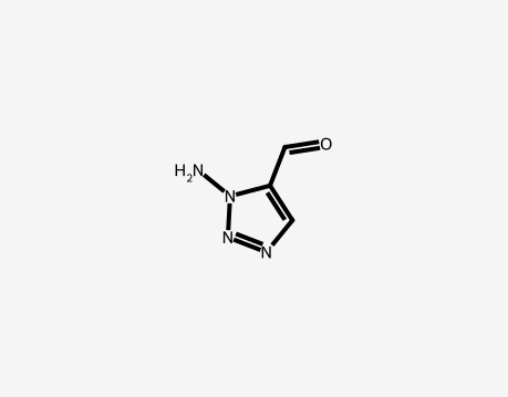 Nn1nncc1C=O